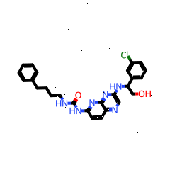 O=C(NCCCCc1ccccc1)Nc1ccc2ncc(NC(CO)c3cccc(Cl)c3)nc2n1